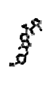 Cn1nccc1C(=O)C1(c2ccc3c(c2)nc(Cc2ccc(C#N)cc2)n3C)CC1